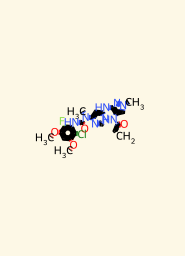 C=CC(=O)Nc1cn(C)nc1Nc1cc(N(C)C(=O)Nc2c(F)c(OC)cc(OC)c2Cl)ncn1